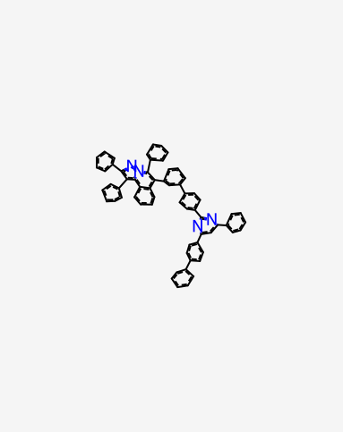 c1ccc(-c2ccc(-c3cc(-c4ccccc4)nc(-c4ccc(-c5cccc(-c6c(-c7ccccc7)n7nc(-c8ccccc8)c(-c8ccccc8)c7c7ccccc67)c5)cc4)n3)cc2)cc1